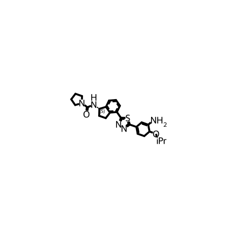 CC(C)OC1CC=C(c2nnc(-c3cccc4c3CC[C@@H]4NC(=O)N3CCCC3)s2)C=C1N